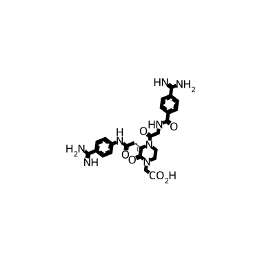 N=C(N)c1ccc(NC(=O)C[C@H]2C(=O)N(CC(=O)O)CCN2C(=O)CNC(=O)c2ccc(C(=N)N)cc2)cc1